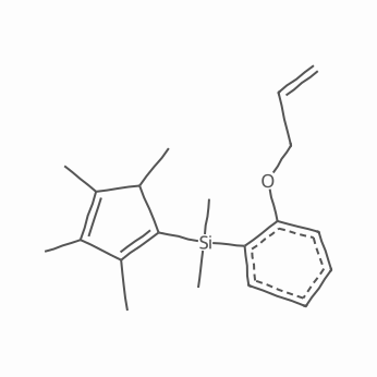 C=CCOc1ccccc1[Si](C)(C)C1=C(C)C(C)=C(C)C1C